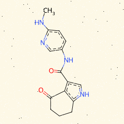 CNc1ccc(NC(=O)c2c[nH]c3c2C(=O)CCC3)cn1